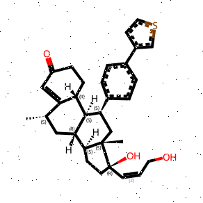 C[C@H]1C[C@@H]2[C@H]([C@@H](c3ccc(-c4ccsc4)cc3)C[C@@]3(C)[C@H]2CC[C@@]3(O)/C=C\CO)[C@H]2CCC(=O)C=C12